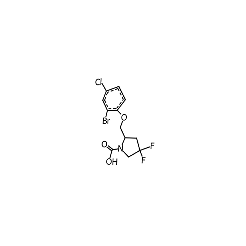 O=C(O)N1CC(F)(F)CC1COc1ccc(Cl)cc1Br